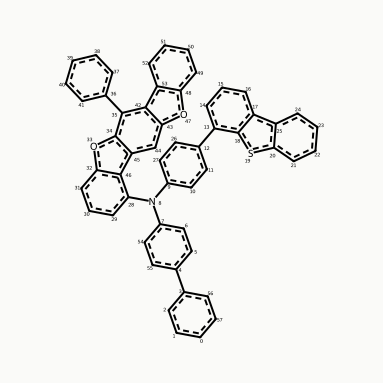 c1ccc(-c2ccc(N(c3ccc(-c4cccc5c4sc4ccccc45)cc3)c3cccc4oc5c(-c6ccccc6)c6c(cc5c34)oc3ccccc36)cc2)cc1